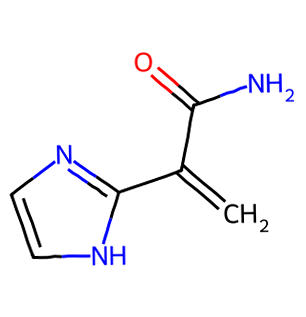 C=C(C(N)=O)c1ncc[nH]1